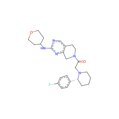 O=C(CN1CCCC[C@@H]1c1ccc(F)cc1)N1CCc2cnc(NC3CCOCC3)nc2C1